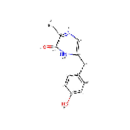 CCC(C)c1ncc(Cc2ccc(O)cc2)[nH]c1=O